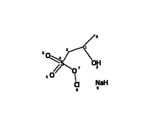 CC(O)CS(=O)(=O)OCl.[NaH]